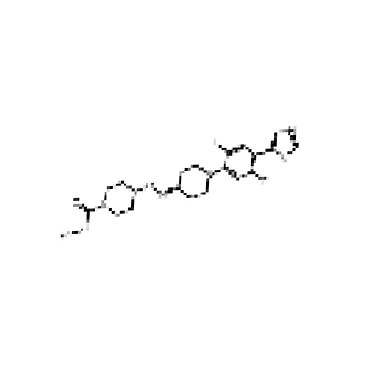 CC(C)OC(=O)N1CCC(ON=C2CCN(c3cc(F)c(-c4cnco4)cc3F)CC2)CC1